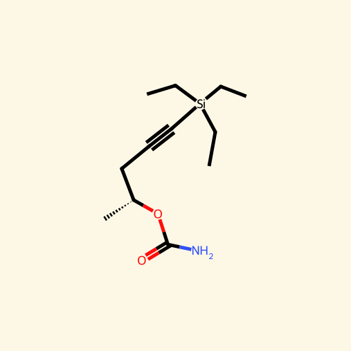 CC[Si](C#CC[C@@H](C)OC(N)=O)(CC)CC